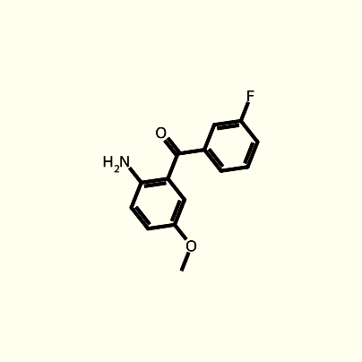 COc1ccc(N)c(C(=O)c2cccc(F)c2)c1